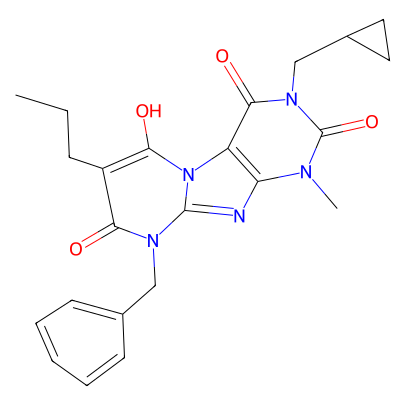 CCCc1c(O)n2c3c(=O)n(CC4CC4)c(=O)n(C)c3nc2n(Cc2ccccc2)c1=O